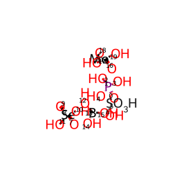 O=P(O)(O)O.O=S(=O)(O)O.O=[Se](=O)(O)O.OB(O)O.[O]=[Mo](=[O])([OH])[OH]